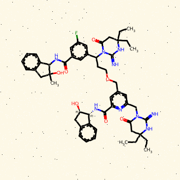 CCC1(CC)CC(=O)N(Cc2cc(COCCC(c3cc(F)cc(C(=O)NC4c5ccccc5CC4(C)O)c3)N3C(=N)NC(CC)(CC)CC3=O)cc(C(=O)N[C@@H]3c4ccccc4C[C@H]3O)n2)C(=N)N1